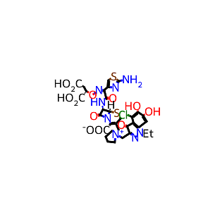 CCn1nc(C[N+]2(CC3=C(C(=O)[O-])N4C(=O)[C@@H](NC(=O)/C(=N\O[C@@H](CC(=O)O)C(=O)O)c5csc(N)n5)[C@H]4SC3)CCCC2)c(=O)c2c(Cl)c(O)c(O)cc21